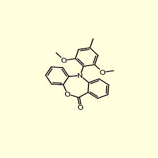 COc1cc(C)cc(OC)c1N1c2ccccc2OC(=O)c2ccccc21